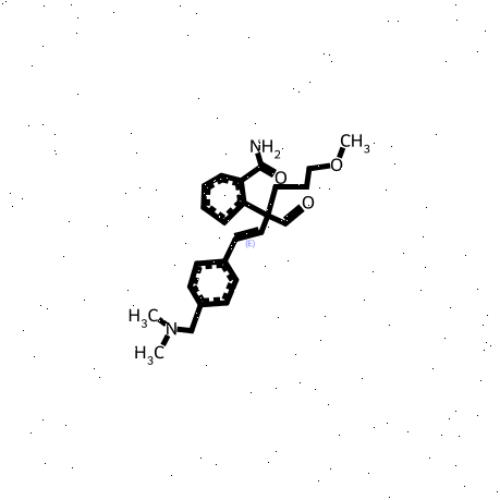 COCCCC(C=O)(/C=C/c1ccc(CN(C)C)cc1)c1ccccc1C(N)=O